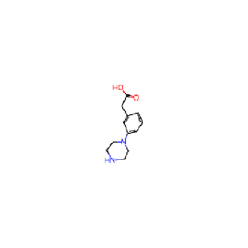 O=C(O)Cc1cccc(N2CCNCC2)c1